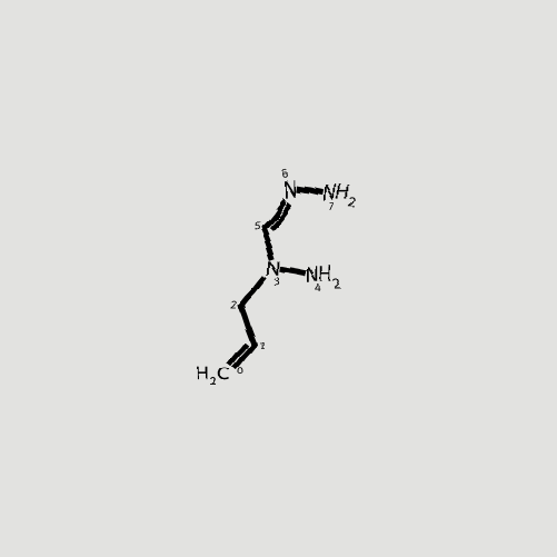 C=CCN(N)/C=N\N